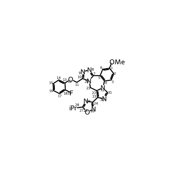 COc1ccc2c(c1)-c1nnc(COc3ccccc3F)n1Cc1c(-c3noc(C(C)C)n3)ncn1-2